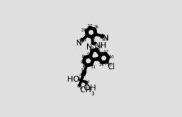 CCC(O)(C#Cc1ccc2c(c1)c1cc(Cl)ccc1c1[nH]c(-c3c(C#N)cccc3C#N)nc21)CO